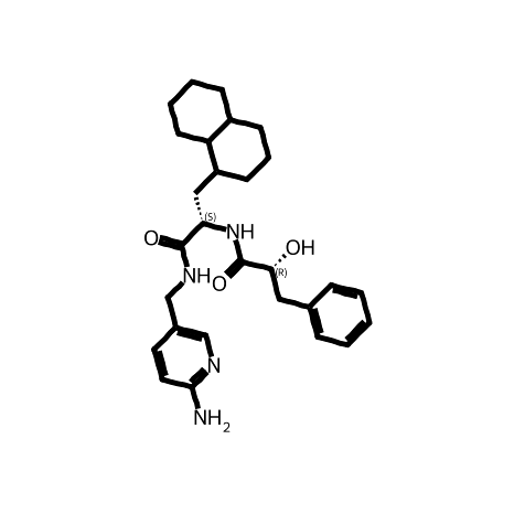 Nc1ccc(CNC(=O)[C@H](CC2CCCC3CCCCC32)NC(=O)[C@H](O)Cc2ccccc2)cn1